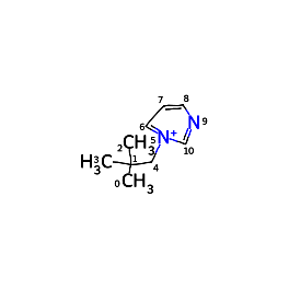 CC(C)(C)C[n+]1cccnc1